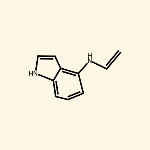 C=CNc1cccc2[nH]ccc12